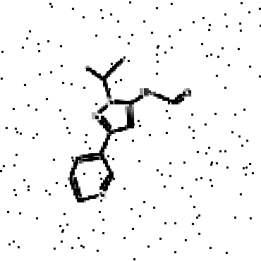 CC(C)n1nc(-c2cccnc2)cc1NC=O